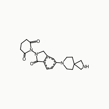 O=C1c2ccc(N3CCC4(CC3)CNC4)cc2CN1N1C(=O)CCCC1=O